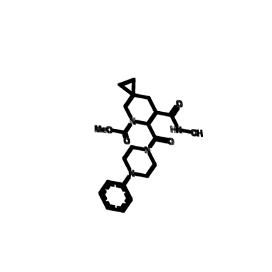 COC(=O)N1CC2(CC2)CC(C(=O)NO)C1C(=O)N1CCN(c2ccccc2)CC1